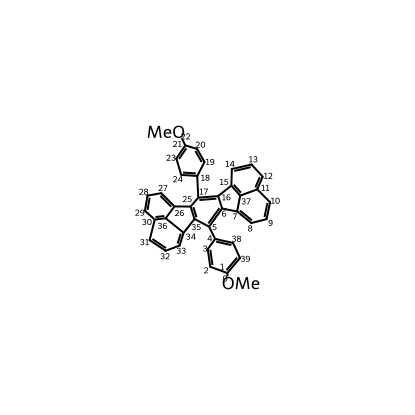 COc1ccc(-c2c3c4cccc5cccc(c3c(-c3ccc(OC)cc3)c3c6cccc7cccc(c23)c76)c54)cc1